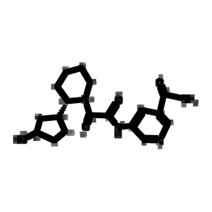 NC(=O)c1cncc(NC(=O)C(=O)N2CCCC[C@H]2C2CCC(O)C2)c1